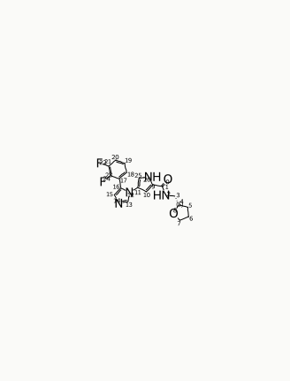 O=C(NC[C@@H]1CCCO1)c1cc(-n2cncc2-c2cccc(F)c2F)c[nH]1